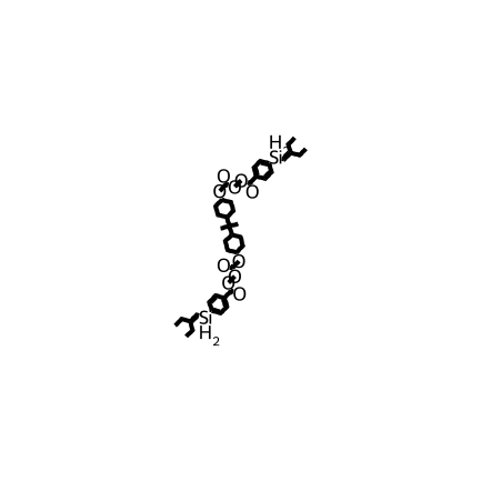 CCC(=C[SiH2]c1ccc(C(=O)OOC(=O)OC2CCC(C(C)(C)C3CCC(OC(=O)OOC(=O)c4ccc([SiH2]C=C(CC)CC)cc4)CC3)CC2)cc1)CC